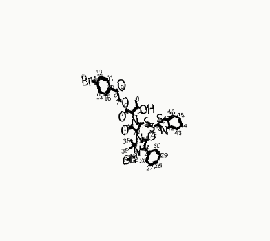 CC(O)=C(C(=O)OCC(=O)c1ccc(Br)cc1)N1C(=O)C(N2C(=O)C(c3ccccc3)N(N=O)C2(C)C)C1SSc1nc2ccccc2s1